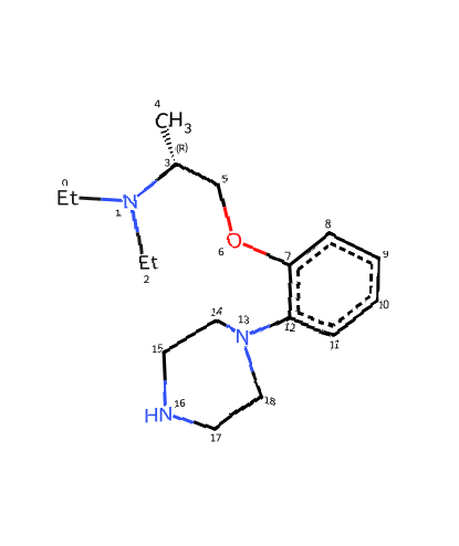 CCN(CC)[C@H](C)COc1ccccc1N1CCNCC1